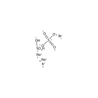 O=S(=O)(O)O.O=S(=O)([O-])[O-].[Br-].[K+].[Na+].[Na+]